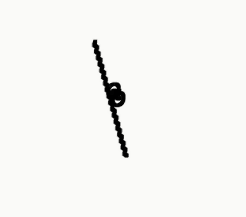 CCCCCCCCCCCCCCCCCCC(CCCCCCCCCCCCCCCCCC)P(OC)C(C)=O